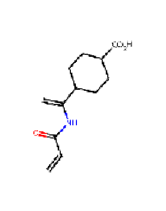 C=CC(=O)NC(=C)C1CCC(C(=O)O)CC1